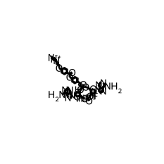 [N-]=[N+]=NCCOc1ccc(C(=O)Oc2ccc(CS[P@@]3(=O)OCC4O[C@@H](n5cnc6c(N)ncnc65)[C@H](F)[C@@H]4O[PH](=O)OC[C@H]4O[C@@H](n5cnc6c(N)ncnc65)C[C@@H]4O3)cc2)cc1